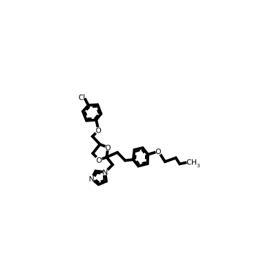 CCCCOc1ccc(CCC2(Cn3ccnc3)OCC(COc3ccc(Cl)cc3)O2)cc1